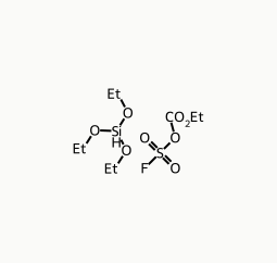 CCOC(=O)OS(=O)(=O)F.CCO[SiH](OCC)OCC